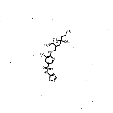 C[C@@H](N)C(CNc1ncc(S(=O)(=O)Nc2ncns2)cc1C(F)(F)F)CC(C)(C)CCN